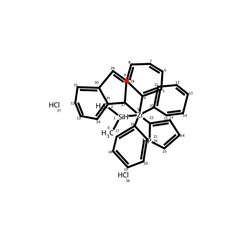 C[SiH](C)[Zr]([c]1ccccc1)([c]1ccccc1)([c]1ccccc1)([c]1ccc[pH]1)[CH]1C=Cc2ccccc21.Cl.Cl